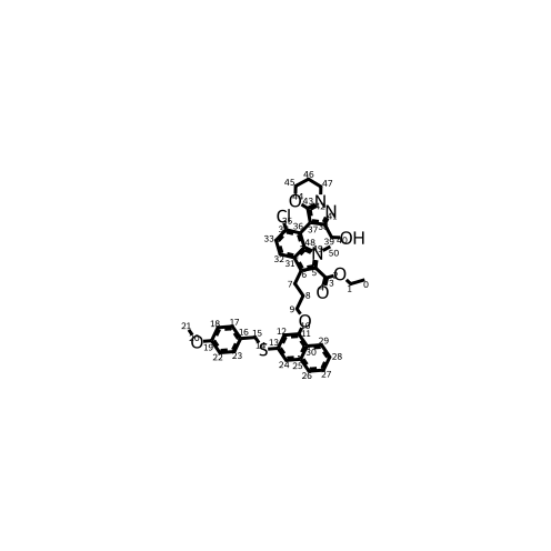 CCOC(=O)c1c(CCCOc2cc(SCc3ccc(OC)cc3)cc3ccccc23)c2ccc(Cl)c(-c3c(CO)nn4c3OCCC4)c2n1C